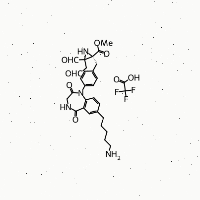 COC(=O)[C@]1(Cc2ccc(N3C(=O)CNC(=O)c4cc(CCCCCN)ccc43)cc2)NC1(C=O)CC=O.O=C(O)C(F)(F)F